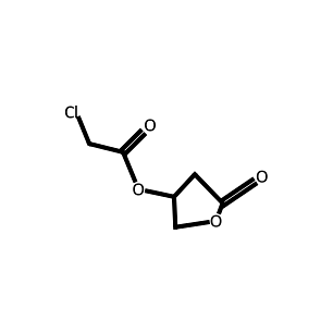 O=C1CC(OC(=O)CCl)CO1